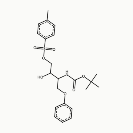 Cc1ccc(S(=O)(=O)OCC(O)C(COc2ccccc2)NC(=O)OC(C)(C)C)cc1